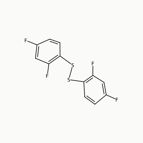 Fc1ccc(SSc2ccc(F)cc2F)c(F)c1